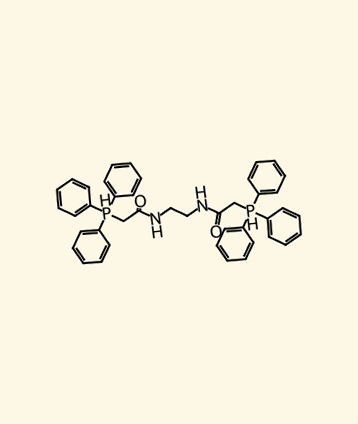 O=C(C[PH](c1ccccc1)(c1ccccc1)c1ccccc1)NCCNC(=O)C[PH](c1ccccc1)(c1ccccc1)c1ccccc1